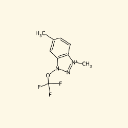 Cc1ccc2c(c1)n(OC(F)(F)F)n[n+]2C